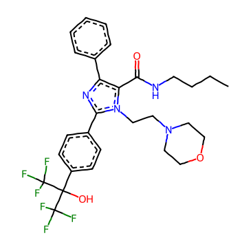 CCCCNC(=O)c1c(-c2ccccc2)nc(-c2ccc(C(O)(C(F)(F)F)C(F)(F)F)cc2)n1CCN1CCOCC1